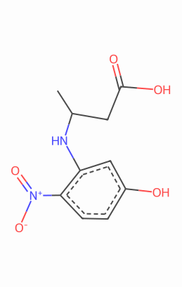 CC(CC(=O)O)Nc1cc(O)ccc1[N+](=O)[O-]